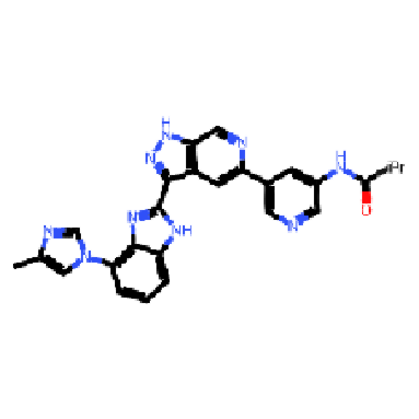 Cc1cn(-c2cccc3[nH]c(-c4n[nH]c5cnc(-c6cncc(NC(=O)C(C)C)c6)cc45)nc23)cn1